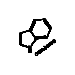 [O]=[Ti]=[O].c1ccc2[nH]ccc2c1